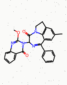 COc1nc2ccccc2c(=O)n1C1N=C(c2ccccc2)c2cc(C)cc3c2N(CC3)C1=O